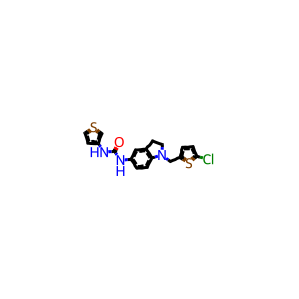 O=C(Nc1ccsc1)Nc1ccc2c(c1)CCN2Cc1ccc(Cl)s1